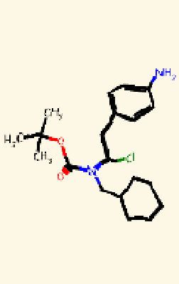 CC(C)(C)OC(=O)N(CC1CCCCC1)C(Cl)Cc1ccc(N)cc1